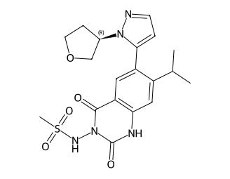 CC(C)c1cc2[nH]c(=O)n(NS(C)(=O)=O)c(=O)c2cc1-c1ccnn1[C@@H]1CCOC1